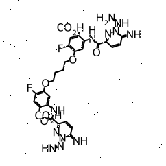 N=Nn1nc(C(=O)Nc2cc(OCCCCOc3cc(NC(=O)c4ccc(=N)n(NN)n4)c(C(=O)O)cc3F)c(F)cc2C(=O)O)ccc1=N